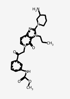 CCCn1c(N2CCCC(N)C2)nc2ccn(CC(=O)c3cccc(NC(=O)OC)c3)c(=O)c21